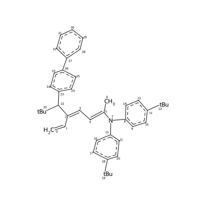 C=C/C(=C\C=C(/C)N(c1ccc(C(C)(C)C)cc1)c1ccc(C(C)(C)C)cc1)C(c1ccc(-c2ccccc2)cc1)C(C)(C)C